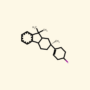 CC1(C)c2ccccc2C2CC[C@](C)(C3=CCC(I)CC3)CC21